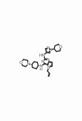 C=CCn1ccc2nc(Nc3cnn(C4CCOCC4)c3)nc(N[C@H]3CC[C@H](N4CCOCC4)CC3)c21